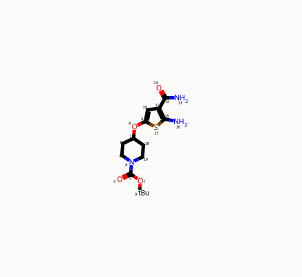 CC(C)(C)OC(=O)N1CCC(Oc2cc(C(N)=O)c(N)s2)CC1